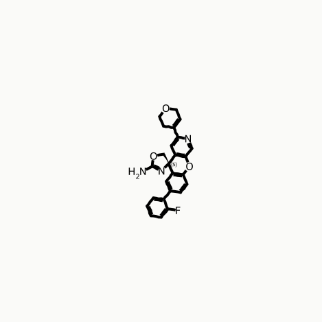 NC1=N[C@@]2(CO1)c1cc(-c3ccccc3F)ccc1Oc1cnc(C3=CCOCC3)cc12